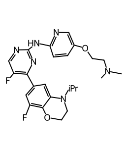 CC(C)N1CCOc2c(F)cc(-c3nc(Nc4ccc(OCCN(C)C)cn4)ncc3F)cc21